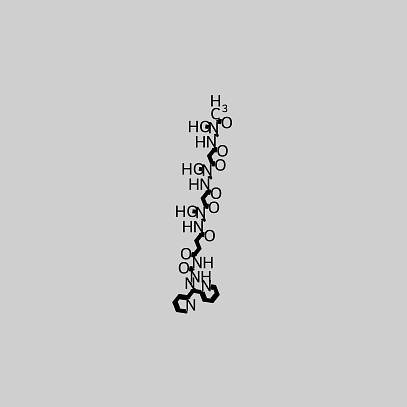 CC(=O)N(O)CNC(=O)CC(=O)N(O)CNC(=O)CC(=O)N(O)CNC(=O)CCC(=O)NC(=O)NN=C(c1ccccn1)c1ccccn1